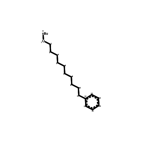 CCCCOCCCCCCCCCCc1cc[c]cc1